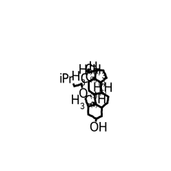 CC(C)CC1C[C@@H](C)[C@H]2CC[C@H]3[C@@H]4CCC5CC(O)CC(O1)[C@]5(C)[C@H]4CC[C@]23C